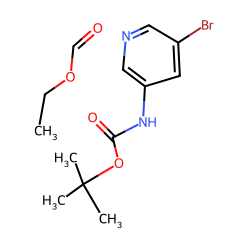 CC(C)(C)OC(=O)Nc1cncc(Br)c1.CCOC=O